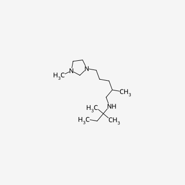 CCC(C)(C)NCC(C)CCCN1CCN(C)C1